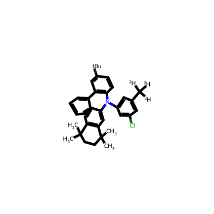 [2H]C([2H])([2H])c1cc(Cl)cc(N(c2ccc3c(c2)C(C)(C)CCC3(C)C)c2ccc(C(C)(C)C)cc2-c2ccccc2)c1